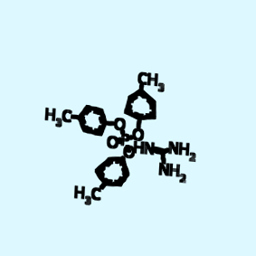 Cc1ccc(OP(=O)(Oc2ccc(C)cc2)Oc2ccc(C)cc2)cc1.N=C(N)N